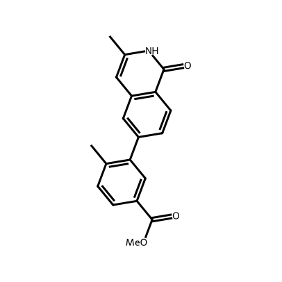 COC(=O)c1ccc(C)c(-c2ccc3c(=O)[nH]c(C)cc3c2)c1